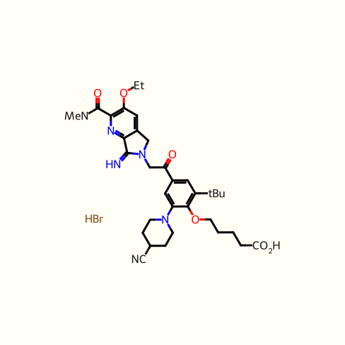 Br.CCOc1cc2c(nc1C(=O)NC)C(=N)N(CC(=O)c1cc(N3CCC(C#N)CC3)c(OCCCCC(=O)O)c(C(C)(C)C)c1)C2